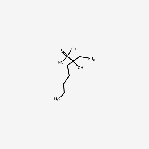 CCCCCC(O)(CN)P(=O)(O)O